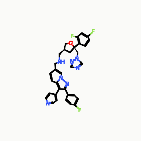 Fc1ccc(-c2nn3cc(CNC[C@H]4CO[C@@](Cn5cncn5)(c5ccc(F)cc5F)C4)ccc3c2-c2ccncc2)cc1